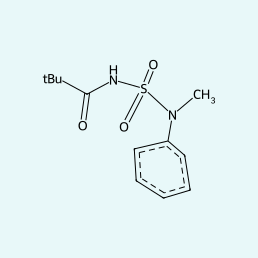 CN(c1ccccc1)S(=O)(=O)NC(=O)C(C)(C)C